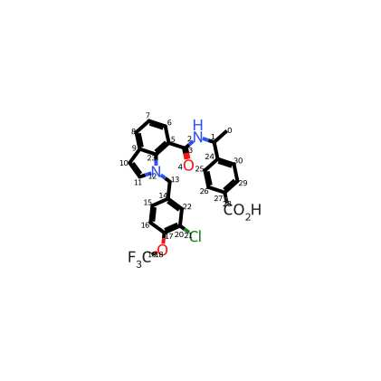 CC(NC(=O)c1cccc2ccn(Cc3ccc(OC(F)(F)F)c(Cl)c3)c12)c1ccc(C(=O)O)cc1